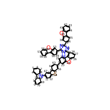 C1=CC2c3ccccc3N(c3ccc4sc5cc(-c6ccc7c(c6)oc6cccc(C8=NC(c9ccc%10c(c9)oc9ccccc9%10)=NC(c9ccc%10c(c9)oc9ccccc9%10)N8)c67)ccc5c4c3)C2C=C1